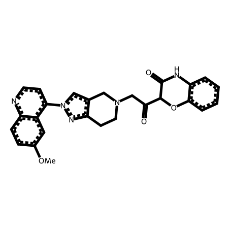 COc1ccc2nccc(-n3cc4c(n3)CCN(CC(=O)C3Oc5ccccc5NC3=O)C4)c2c1